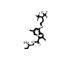 CCC(O)CNC(=O)c1c(C)nc2c(OCCC(C(F)(F)F)C(F)(F)F)cc(C)cn12